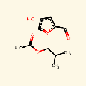 CC(=O)OCC(C)C.O.O=Cc1ccco1